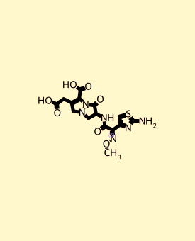 CO/N=C(\C(=O)NC1CN2CC(CC(=O)O)=C(C(=O)O)N2C1=O)c1csc(N)n1